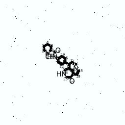 CN1CCCC[C@@H]1C(=O)Nc1ccc(-c2ccn3ccc4c3c2CNCC4=O)cc1